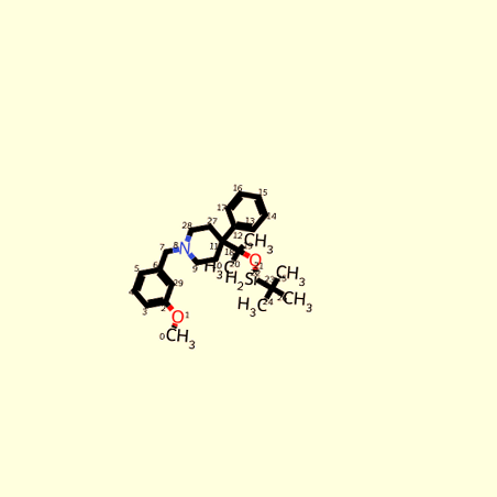 COc1cccc(CN2CCC(c3ccccc3)(C(C)(C)O[SiH2]C(C)(C)C)CC2)c1